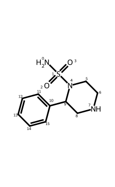 NS(=O)(=O)N1CCNCC1c1ccccc1